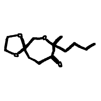 CCCCC1(C)OCC2(CCC1=O)OCCO2